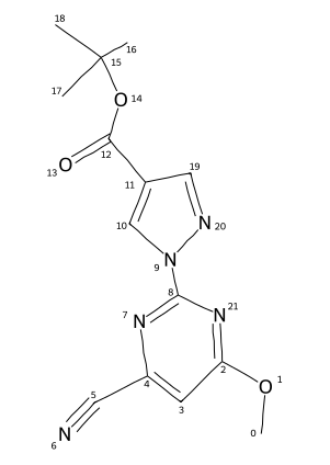 COc1cc(C#N)nc(-n2cc(C(=O)OC(C)(C)C)cn2)n1